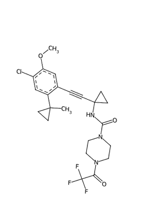 COc1cc(C#CC2(NC(=O)N3CCN(C(=O)C(F)(F)F)CC3)CC2)c(C2(C)CC2)cc1Cl